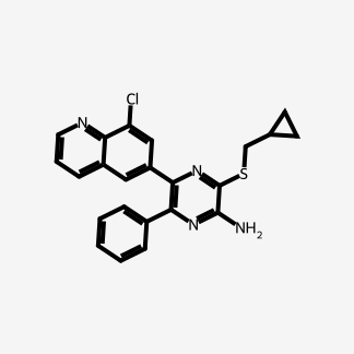 Nc1nc(-c2ccccc2)c(-c2cc(Cl)c3ncccc3c2)nc1SCC1CC1